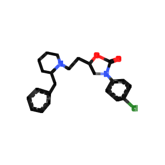 O=C1OC(CCN2CCCCC2Cc2ccccc2)CN1c1ccc(Cl)cc1